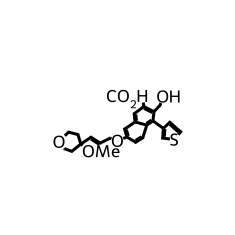 COC1(/C=C/COc2ccc3c(-c4ccsc4)c(CO)c(C(=O)O)cc3c2)CCOCC1